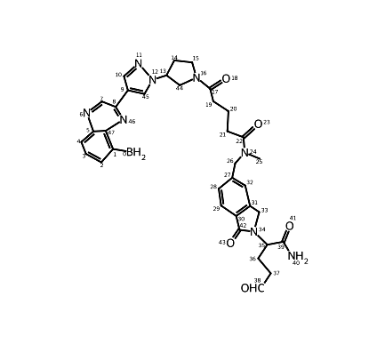 Bc1cccc2ncc(-c3cnn(C4CCN(C(=O)CCCC(=O)N(C)Cc5ccc6c(c5)CN(C(CCC=O)C(N)=O)C6=O)C4)c3)nc12